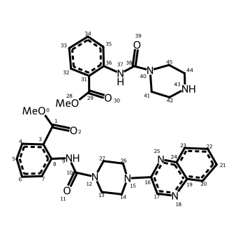 COC(=O)c1ccccc1NC(=O)N1CCN(c2cnc3ccccc3n2)CC1.COC(=O)c1ccccc1NC(=O)N1CCNCC1